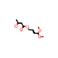 COC(C=CCOC(=O)CC(C)=O)OC